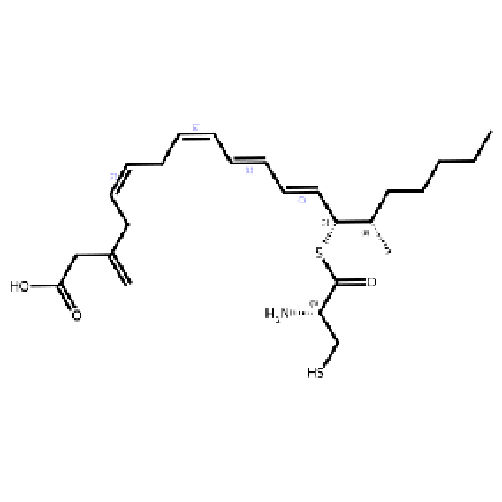 C=C(C/C=C\C\C=C/C=C/C=C/[C@@H](SC(=O)[C@@H](N)CS)[C@@H](C)CCCCC)CC(=O)O